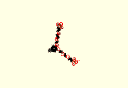 O=S(=O)([O-])CCCOCCOCCOc1ccccc1OCCOCCOCCCS(=O)(=O)[O-].[K+].[K+]